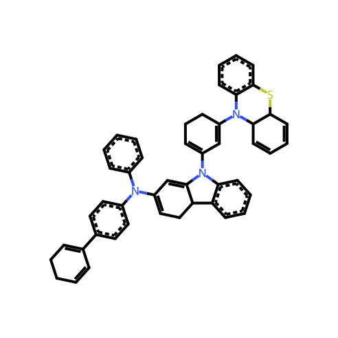 C1=CC2Sc3ccccc3N(C3=CC(N4C5=CC(N(c6ccccc6)c6ccc(C7=CCCC=C7)cc6)=CCC5c5ccccc54)=CCC3)C2C=C1